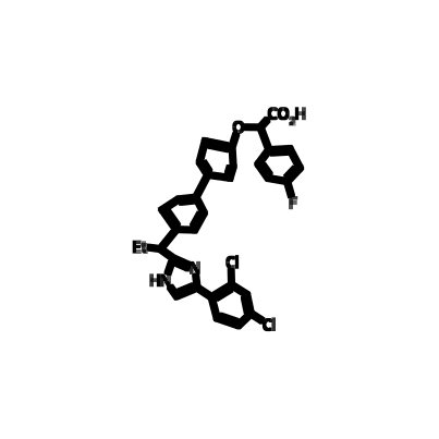 CCC(c1ccc(-c2ccc(OC(C(=O)O)c3ccc(F)cc3)cc2)cc1)c1nc(-c2ccc(Cl)cc2Cl)c[nH]1